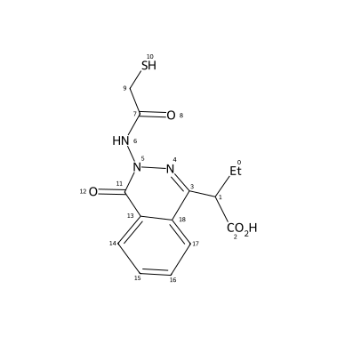 CCC(C(=O)O)c1nn(NC(=O)CS)c(=O)c2ccccc12